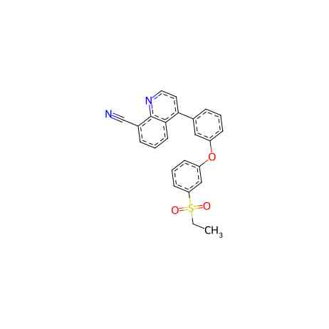 CCS(=O)(=O)c1cccc(Oc2cccc(-c3ccnc4c(C#N)cccc34)c2)c1